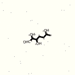 CC(O)CCC(O)C(O)C=O